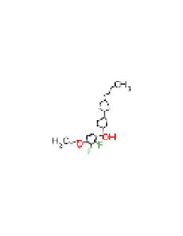 CCCCC1CCC(C2CCC(C(O)c3ccc(OCCC)c(F)c3F)CC2)CC1